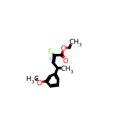 CCOC(=O)/C(F)=C\C(C)c1cccc(OC)c1